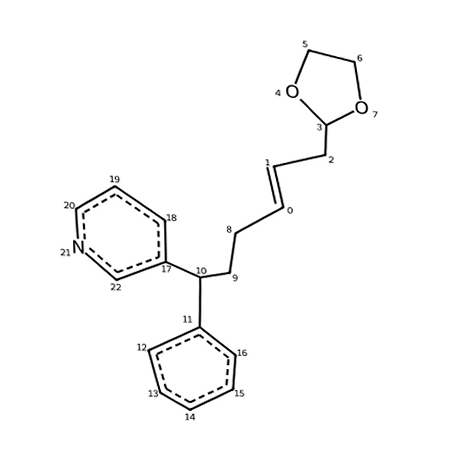 C(=CCC1OCCO1)CCC(c1ccccc1)c1cccnc1